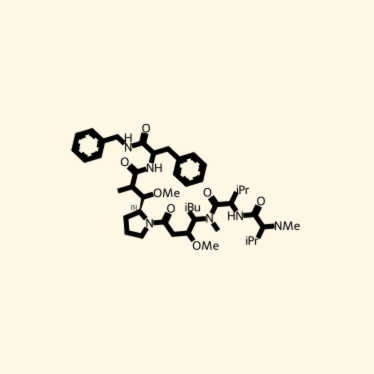 CCC(C)C(C(CC(=O)N1CCC[C@H]1C(OC)C(C)C(=O)NC(Cc1ccccc1)C(=O)NCc1ccccc1)OC)N(C)C(=O)C(NC(=O)C(NC)C(C)C)C(C)C